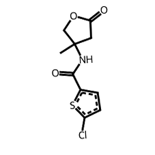 CC1(NC(=O)c2ccc(Cl)s2)COC(=O)C1